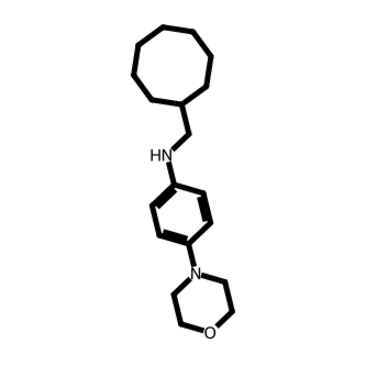 c1cc(N2CCOCC2)ccc1NCC1CCCCCCC1